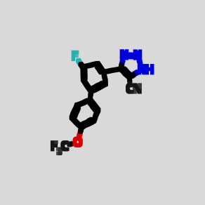 N#Cc1[nH]nnc1-c1cc(F)cc(-c2ccc(OC(F)(F)F)cc2)c1